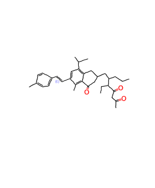 CCCC(CC1CC(=O)c2c(C)c(/C=C/c3ccc(C)cc3)cc(C(C)C)c2C1)C(CC)C(=O)CC(C)=O